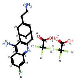 NCCC1=CC2Cc3nc4cc(Cl)ccc4c(N)c3C(C1)C2.O=C(O)C(F)(F)F.O=C(O)C(F)(F)F